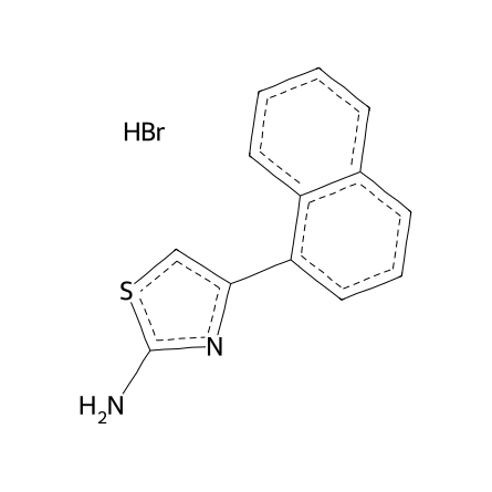 Br.Nc1nc(-c2cccc3ccccc23)cs1